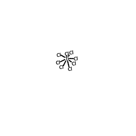 [Cl][Ti]([Cl])([Cl])([Cl])([Cl])([Cl])([Cl])[Cl]